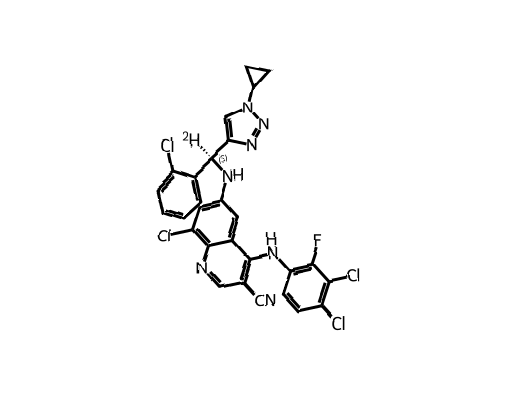 [2H][C@@](Nc1cc(Cl)c2ncc(C#N)c(Nc3ccc(Cl)c(Cl)c3F)c2c1)(c1cn(C2CC2)nn1)c1ccccc1Cl